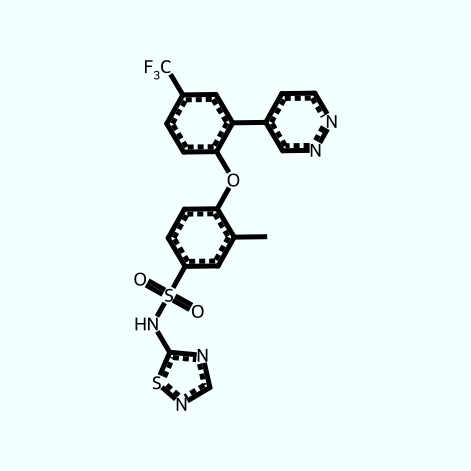 Cc1cc(S(=O)(=O)Nc2ncns2)ccc1Oc1ccc(C(F)(F)F)cc1-c1ccnnc1